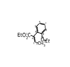 C/C=C(/C(=O)OCC)c1ccccc1OCC